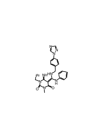 CC(C)CN1C(=N)/C(=C(\NCc2ccc(-n3cncn3)cc2)Nc2ccccc2)C(=O)N(C)C1=O